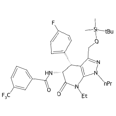 CCCn1nc(CO[Si](C)(C)C(C)(C)C)c2c1N(CC)C(=O)[C@H](NC(=O)c1cccc(C(F)(F)F)c1)[C@@H]2c1ccc(F)cc1